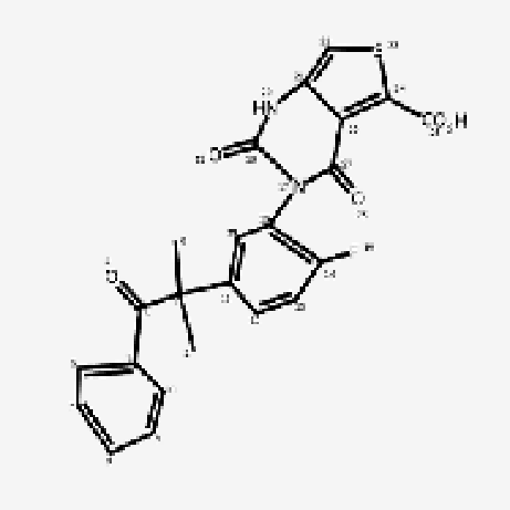 CC(C)(C(=O)c1ccccc1)c1ccc(F)c(-n2c(=O)[nH]c3csc(C(=O)O)c3c2=O)c1